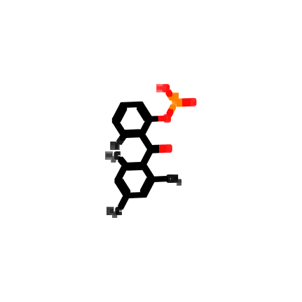 CCc1cccc(O[PH](=O)O)c1C(=O)c1c(C)cc(C)cc1C